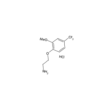 COc1cc(C(F)(F)F)ccc1OCCN.Cl